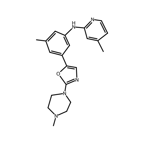 Cc1cc(Nc2cc(C)ccn2)cc(-c2cnc(N3CCN(C)CC3)o2)c1